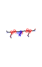 CC/C=C\CCCCOC(CCC(=O)OCCCCCCCN(CCCCCCCOC(=O)CCC(OCCCC/C=C\CC)OCCCC/C=C\CC)C(=O)NCCN(C)C)OCCCC/C=C\CC